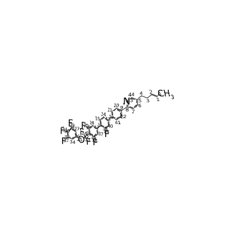 C/C=C/CCc1ccc(-c2ccc(-c3ccc(-c4cc(F)c(C(F)(F)Oc5cc(F)c(F)c(F)c5)c(F)c4)c(F)c3)cc2)nc1